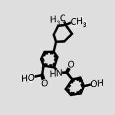 CC1(C)CCC(c2ccc(C(=O)O)c(NC(=O)c3cccc(O)c3)c2)CC1